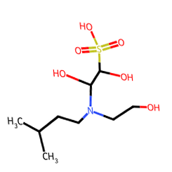 CC(C)CCN(CCO)C(O)C(O)S(=O)(=O)O